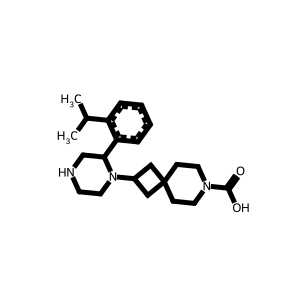 CC(C)c1ccccc1C1CNCCN1C1CC2(CCN(C(=O)O)CC2)C1